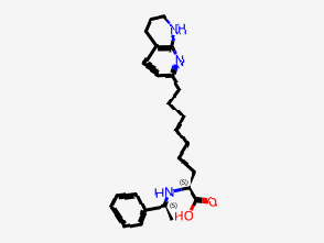 C[C@H](N[C@@H](CCCCCCCc1ccc2c(n1)NCCC2)C(=O)O)c1ccccc1